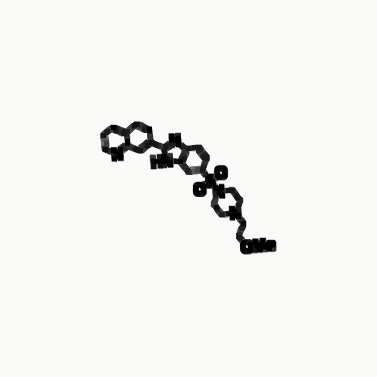 COCCN1CCN(S(=O)(=O)c2ccc3nc(-c4ccc5cccnc5c4)[nH]c3c2)CC1